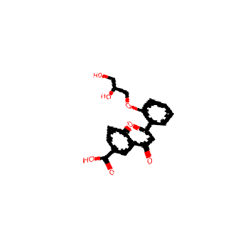 O=C(O)c1ccc2oc(-c3ccccc3OCC(O)CO)cc(=O)c2c1